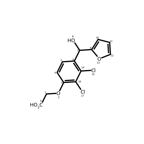 O=C(O)COc1ccc(C(O)c2ccco2)c(Cl)c1Cl